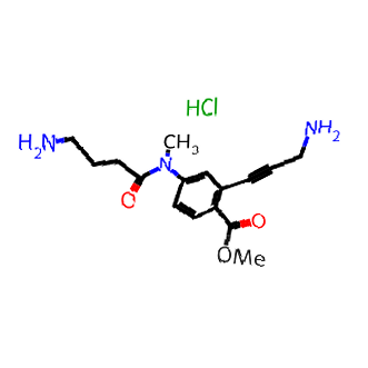 COC(=O)c1ccc(N(C)C(=O)CCCN)cc1C#CCN.Cl